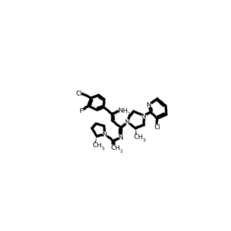 C=C(/N=C(\C=C(/N)c1ccc(Cl)c(F)c1)N1CCN(c2ncccc2Cl)C[C@@H]1C)N1CCC[C@H]1C